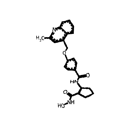 Cc1cc(COc2ccc(C(=O)NC3CCCC3C(=O)NO)cc2)c2ccccc2n1